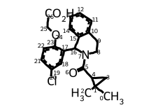 CC1(C)CC1C(=O)N1CCc2ccccc2C1c1cc(Cl)ccc1OCC(=O)O